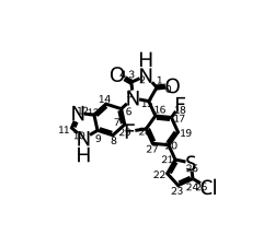 O=C1NC(=O)N(c2ccc3[nH]cnc3c2)C1c1c(F)cc(-c2ccc(Cl)s2)cc1F